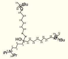 CC(C)N(CCCCC(O)(CCCCCCCCO[Si](C)(C)C(C)(C)C)CCCCCCCCO[Si](C)(C)C(C)(C)C)C(C)C